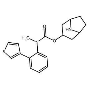 CN(C(=O)OC1CC2CCC(C1)N2)c1ccccc1-c1ccsc1